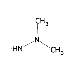 CN(C)[NH]